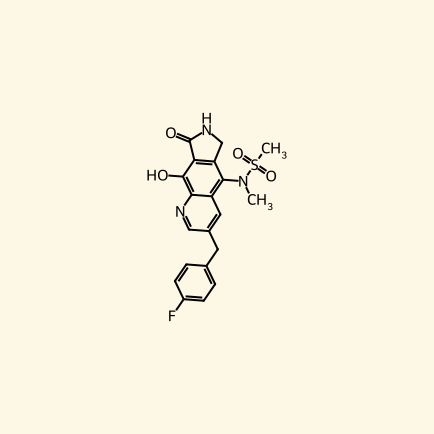 CN(c1c2c(c(O)c3ncc(Cc4ccc(F)cc4)cc13)C(=O)NC2)S(C)(=O)=O